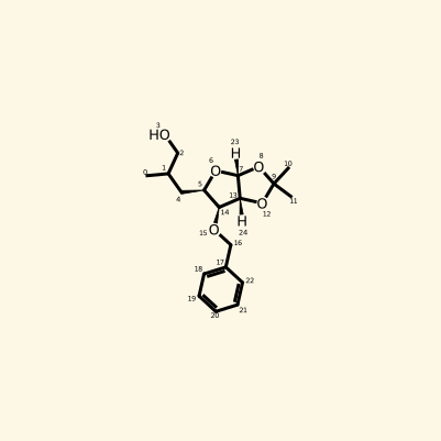 CC(CO)C[C@H]1O[C@@H]2OC(C)(C)O[C@@H]2[C@H]1OCc1ccccc1